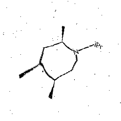 CC(C)N1C[C@@H](C)[C@@H](C)C[C@H]1C